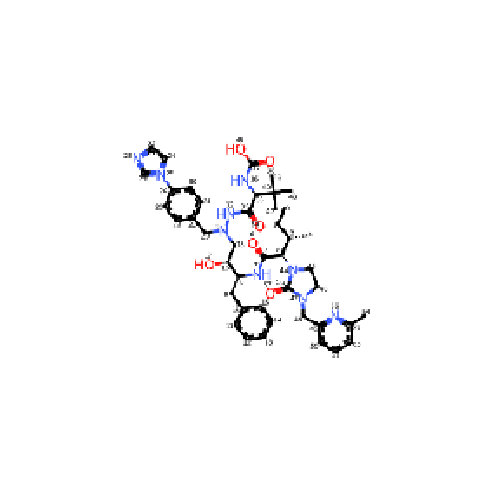 CC[C@H](C)[C@@H](C(=O)N[C@@H](Cc1ccccc1)[C@@H](O)CN(Cc1ccc(-n2ccnc2)cc1)NC(=O)[C@@H](NC(=O)O)C(C)(C)C)N1CCN(Cc2cccc(C)n2)C1=O